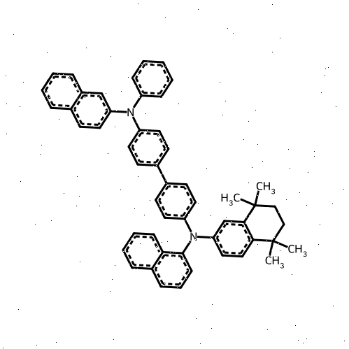 CC1(C)CCC(C)(C)c2cc(N(c3ccc(-c4ccc(N(c5ccccc5)c5ccc6ccccc6c5)cc4)cc3)c3cccc4ccccc34)ccc21